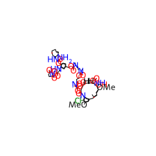 COc1cc2cc(c1Cl)N(C)C(=O)C[C@H](OC(=O)[C@H](C)N(C)C(=O)CCOC(=O)N(C)CCN(C)C(=O)OCc1ccc(OC(=O)NC3CCCC/C=C/[C@@H]3N)c(NCC(=O)ON3C(=O)CCC3=O)c1)[C@]1(C)O[C@H]1[C@H](C)[C@@H]1C[C@@](O)(NC(=O)O1)[C@H](OC)/C=C/C=C(\C)C2